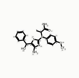 CC(C(N)=O)N(c1ccc(OC(F)(F)F)cc1)c1nc(N)c(C(O)c2ccccc2)s1